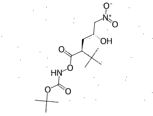 CC(C)(C)OC(=O)NOC(=O)[C@@H](C[C@@H](O)C[N+](=O)[O-])C(C)(C)C